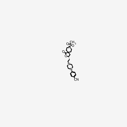 CS(=O)(=O)N1CCC2(CC1)C[C@H](CCN1CCN(c3ccc(C#N)cc3)CC1)OC2=O